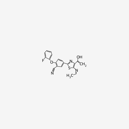 C=C(O)c1nc(-c2ccc(Oc3ccccc3F)c(C#N)c2)sc1/N=C\C